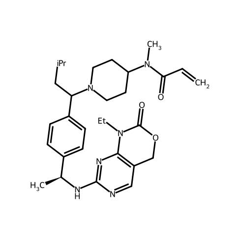 C=CC(=O)N(C)C1CCN(C(CC(C)C)c2ccc([C@H](C)Nc3ncc4c(n3)N(CC)C(=O)OC4)cc2)CC1